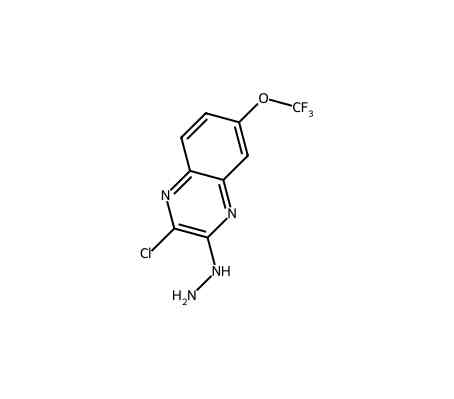 NNc1nc2cc(OC(F)(F)F)ccc2nc1Cl